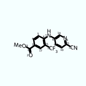 COC(=O)c1ccc(Nc2ccc(C#N)nc2)c(C(F)(F)F)c1